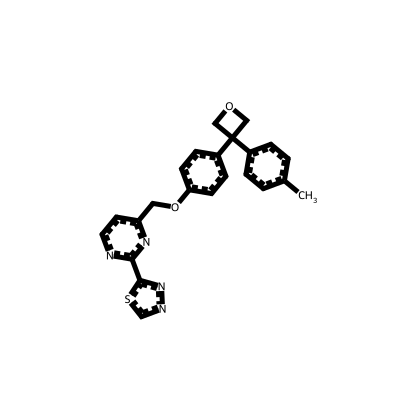 Cc1ccc(C2(c3ccc(OCc4ccnc(-c5nncs5)n4)cc3)COC2)cc1